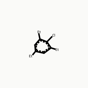 CCc1[c]c(CC)c(Cl)c(CC)c1